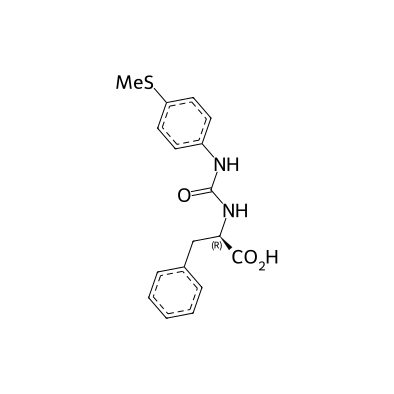 CSc1ccc(NC(=O)N[C@H](Cc2ccccc2)C(=O)O)cc1